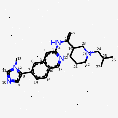 C=C(Nc1cc2cc(-c3cncn3C)ccc2cn1)C1CCCN(CC(C)C)C1